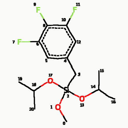 CO[Si](Cc1cc(F)c(F)c(F)c1)(OC(C)C)OC(C)C